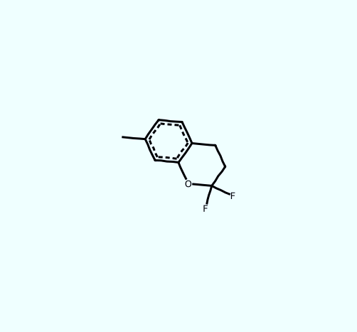 Cc1ccc2c(c1)OC(F)(F)CC2